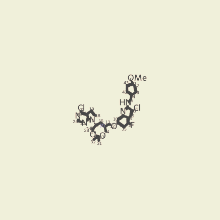 COc1ccc(CNc2nc3cc(OC/C4=C/[C@@H](n5ccc6c(Cl)ncnc65)[C@@H](C)OC(C)(C)OC4)cc(F)c3cc2Cl)cc1